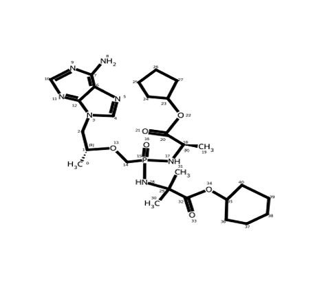 C[C@H](Cn1cnc2c(N)ncnc21)OCP(=O)(N[C@H](C)C(=O)OC1CCCC1)NC(C)(C)C(=O)OC1CCCCC1